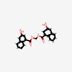 O=C(OCOC(=O)c1cc(O)cc2ccccc12)c1cc(O)cc2ccccc12